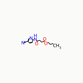 CCCCOC(=O)CCC(=O)Nc1ccc(C#N)cn1